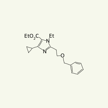 CCOC(=O)c1c(C2CC2)nc(CCOCc2ccccc2)n1CC